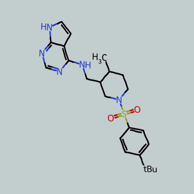 CC1CCN(S(=O)(=O)c2ccc(C(C)(C)C)cc2)CC1CNc1ncnc2[nH]ccc12